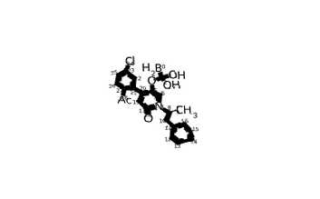 BC(O)(O)Oc1cn([C@H](C)Cc2ccccc2)c(=O)cc1-c1cc(Cl)ccc1C(C)=O